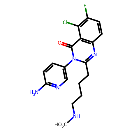 Nc1ccc(-n2c(CCCCNC(=O)O)nc3ccc(F)c(Cl)c3c2=O)cn1